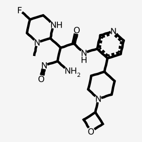 CN1CC(F)CNC1C(C(=O)Nc1cnccc1C1CCN(C2COC2)CC1)C(N)N=O